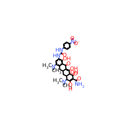 CN(C)c1cc(NC(=O)Nc2ccc([N+](=O)[O-])cc2)c(O)c2c1CC1CC3C(N(C)C)C(O)=C(C(N)=O)C(=O)C3(O)C(O)=C1C2=O